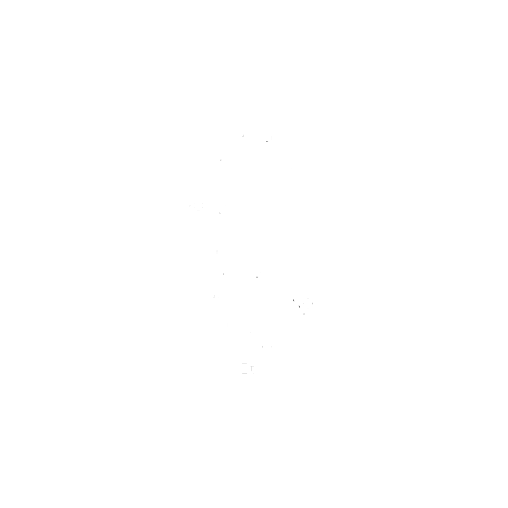 CCOc1ccc(C=CC(=O)c2ccccc2)cc1[N+](=O)[O-]